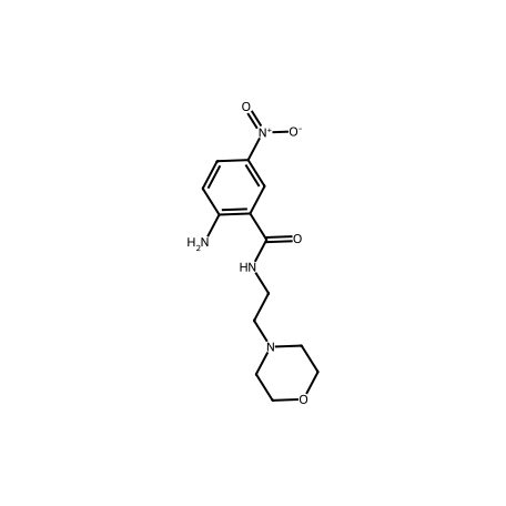 Nc1ccc([N+](=O)[O-])cc1C(=O)NCCN1CCOCC1